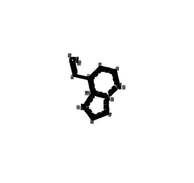 C=Cc1ccnn2ccnc12